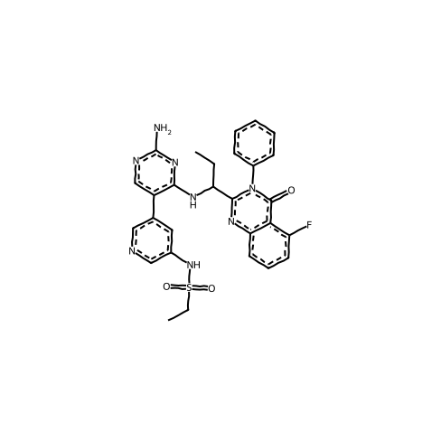 CCC(Nc1nc(N)ncc1-c1cncc(NS(=O)(=O)CC)c1)c1nc2cccc(F)c2c(=O)n1-c1ccccc1